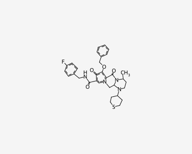 CC1CCN(C2CCSCC2)C2Cn3cc(C(=O)NCc4ccc(F)cc4)c(=O)c(OCc4ccccc4)c3C(=O)N12